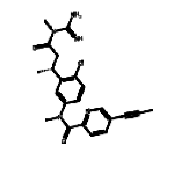 CC#Cc1ccc(C(=O)N(C)c2ccc(Cl)c([C@H](C)CC(=O)N(C)C(=N)N)c2)nc1